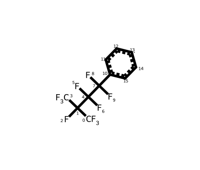 FC(F)(F)C(F)(C(F)(F)F)C(F)(F)C(F)(F)c1cc[c]cc1